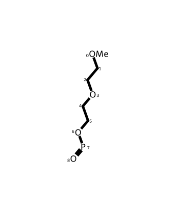 COCCOCCOP=O